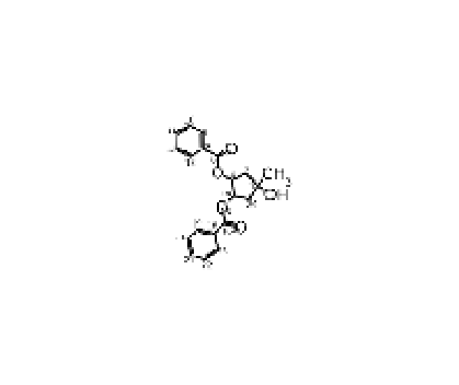 CC1(O)CC(OC(=O)c2ccccc2)C(OC(=O)c2ccccc2)C1